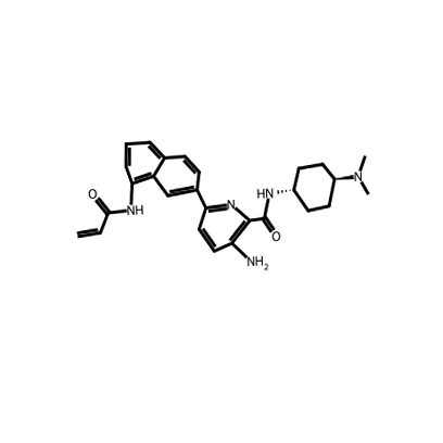 C=CC(=O)Nc1cccc2ccc(-c3ccc(N)c(C(=O)N[C@H]4CC[C@H](N(C)C)CC4)n3)cc12